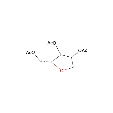 CC(=O)OC[C@H]1OC[C@@H](OC(C)=O)C1OC(C)=O